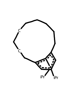 CC(C)Sc1c2cc(C(C)C)cc1CCCCCCCCC2